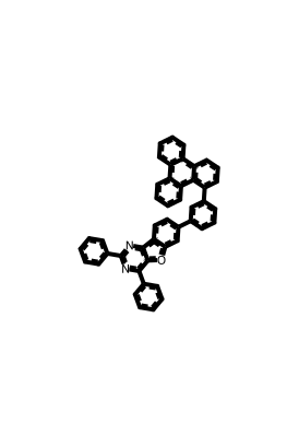 c1ccc(-c2nc(-c3ccccc3)c3oc4cc(-c5cccc(-c6cccc7c8ccccc8c8ccccc8c67)c5)ccc4c3n2)cc1